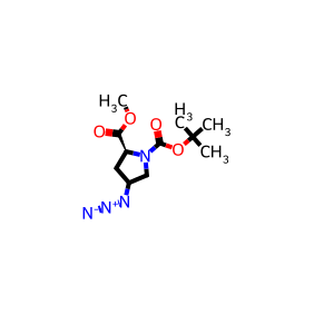 COC(=O)[C@@H]1CC(N=[N+]=[N-])CN1C(=O)OC(C)(C)C